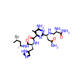 CC(=O)[C@@H](C)C[C@@H](C)NC(=O)[C@H](Cc1cnc[nH]1)NC(=O)c1nc([C@H](CC(N)=O)NC[C@H](N)C(N)=O)nc(N)c1C